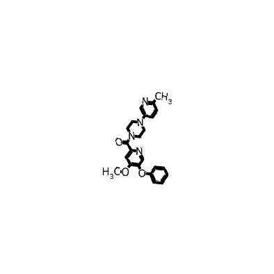 COc1cc(C(=O)N2CCN(c3ccc(C)nc3)CC2)ncc1Oc1ccccc1